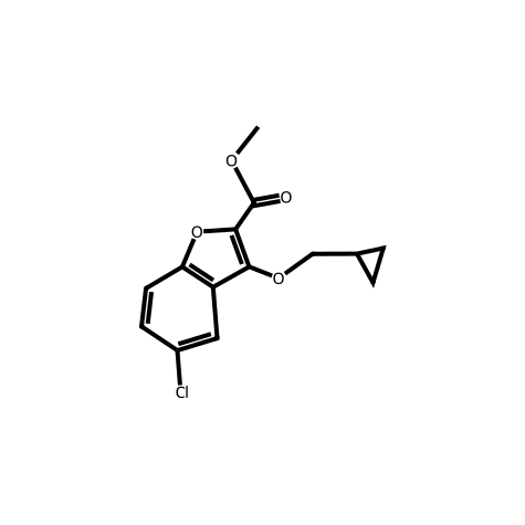 COC(=O)c1oc2ccc(Cl)cc2c1OCC1CC1